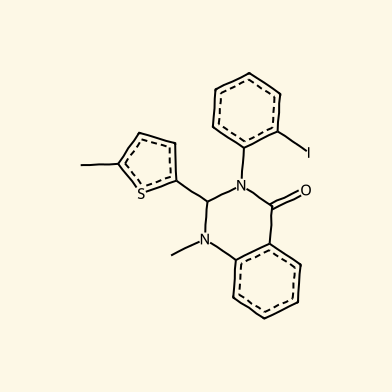 Cc1ccc(C2N(C)c3ccccc3C(=O)N2c2ccccc2I)s1